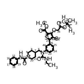 CCNC(=O)N(CC1CCN(C(=O)Nc2ccccc2)CC1)c1cccc(-c2sc(C(=O)OC)c(OCC(=O)OC(C)(C)C)c2Br)c1